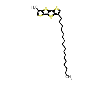 CCCCCCCCCCCCCCCCCc1csc2c1sc1c3scc(C)c3sc21